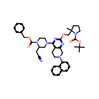 CC(C)(C)OC(=O)N1CCCC1(C)COc1nc2c(c(N3CCN(C(=O)OCc4ccccc4)C(CC#N)C3)n1)CCN(c1cccc3ccccc13)C2